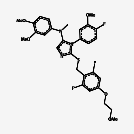 COCCOc1cc(F)c(CSc2ncc(N(C)c3ccc(OC)c(OC)c3)n2-c2ccc(F)c(OC)c2)c(F)c1